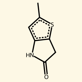 Cc1cc2c(s1)CC(=O)N2